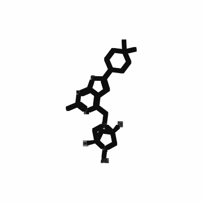 CC(=O)N1C[C@@H]2C[C@H]1CN2Cc1nc(C)nc2sc(C3CCC(C)(C)CC3)cc12